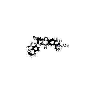 CC/C(NC)=C(/C=N)c1cc(Nc2ncc(Br)c(Nc3ccc4nccnc4c3P(C)C)n2)c(OC)cc1CC